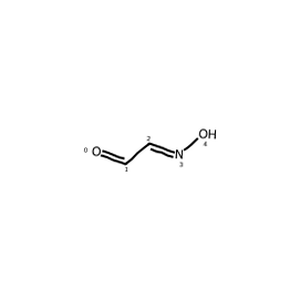 O=C/C=N/O